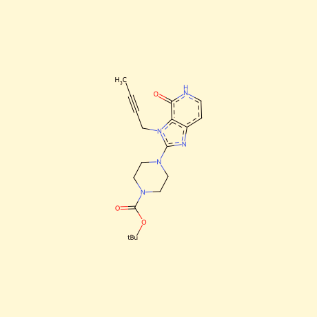 CC#CCn1c(N2CCN(C(=O)OC(C)(C)C)CC2)nc2cc[nH]c(=O)c21